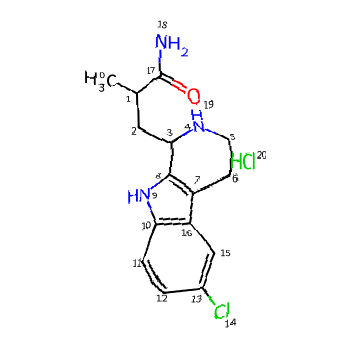 CC(CC1NCCc2c1[nH]c1ccc(Cl)cc21)C(N)=O.Cl